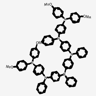 COc1ccc(N(c2ccc(OC)cc2)c2ccc(N(c3ccccc3)c3ccc(N(c4ccccc4)c4ccc(N(c5ccccc5)c5ccc(N(c6ccccc6)c6ccc(N(c7ccc(OC)cc7)c7ccc(OC)cc7)cc6)cc5)cc4)cc3)cc2)cc1